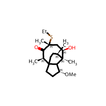 CCS[C@]1(C)C[C@@H](O)[C@@]2(C)C3[C@H](OC)CCC3(CC[C@H]2C)[C@@H](C)C1=O